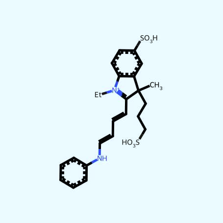 CC[N+]1=C(/C=C/C=C/Nc2ccccc2)C(C)(CCCS(=O)(=O)O)c2cc(S(=O)(=O)O)ccc21